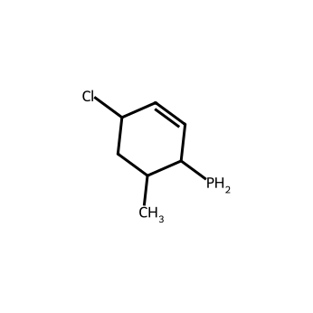 CC1CC(Cl)C=CC1P